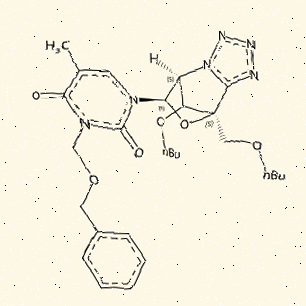 CCCCOC[C@]12O[C@@H](n3cc(C)c(=O)n(COCc4ccccc4)c3=O)[C@H](C1OCCCC)n1nnnc12